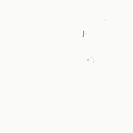 O=[p+]1ccc2ccccc2o1